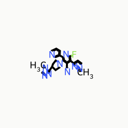 Cn1ccc(-c2c(F)nc(-c3cccnc3)c(N3CCC(c4nncn4C)CC3)c2C#N)n1